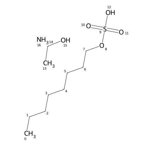 CCCCCCCCOS(=O)(=O)O.CCO.N